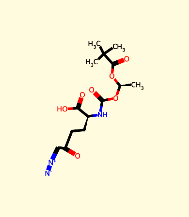 C[C@@H](OC(=O)N[C@@H](CCC(=O)C=[N+]=[N-])C(=O)O)OC(=O)C(C)(C)C